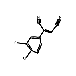 N#C/C=C(\C#N)c1ccc(Cl)c(Cl)c1